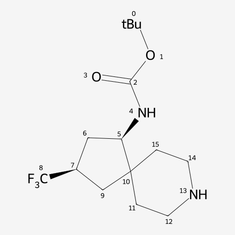 CC(C)(C)OC(=O)N[C@@H]1C[C@H](C(F)(F)F)CC12CCNCC2